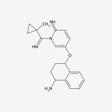 CC1(C(=N)n2cc(OC3CCC(N)c4ccccc43)ccc2=N)CC1